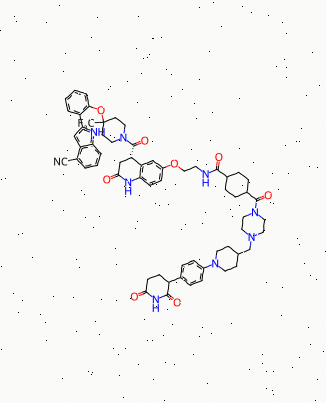 N#Cc1cccc2[nH]c(-c3ccccc3OC3(C(F)(F)F)CCN(C(=O)[C@H]4CC(=O)Nc5ccc(OCCNC(=O)C6CCC(C(=O)N7CCN(CC8CCN(c9ccc(C%10CCC(=O)NC%10=O)cc9)CC8)CC7)CC6)cc54)CC3)cc12